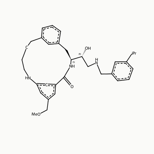 COCc1cc2cc(c1)C(=O)N[C@H]([C@H](O)CNCc1cccc(C(C)C)c1)Cc1cccc(c1)CCCCN2